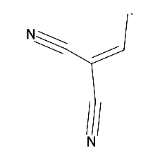 [CH2]C=C(C#N)C#N